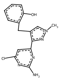 Cn1cc(Cc2ccccc2O)c(-c2cc(Cl)nc(N)n2)n1